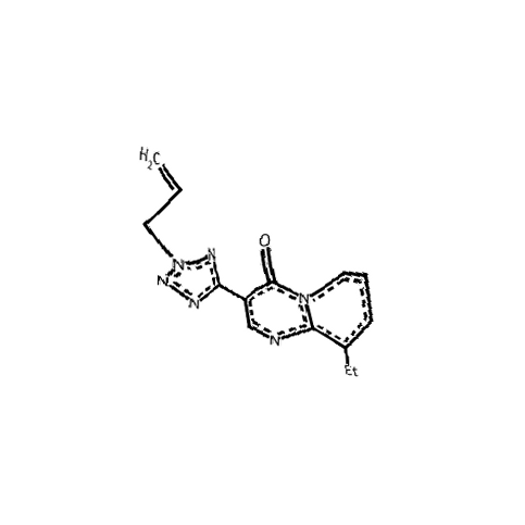 C=CCn1nnc(-c2cnc3c(CC)cccn3c2=O)n1